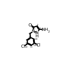 Nc1cc(=O)n(Cc2cc(Cl)cc(Cl)c2)[nH]1